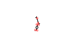 COC(=O)C1CCC(C(=O)OC(C)OCCCCOC(C)C)CC1